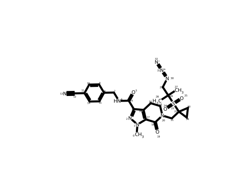 Cn1nc(C(=O)NCc2ccc(C#N)cc2)c2c1C(=O)N(CC1(S(=O)(=O)C(C)(C)CN=[N+]=[N-])CC1)CC2